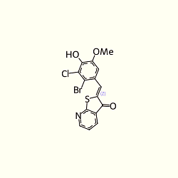 COc1cc(/C=C2\Sc3ncccc3C2=O)c(Br)c(Cl)c1O